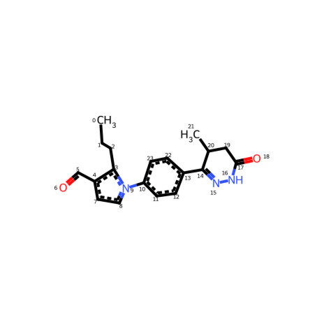 CCCc1c(C=O)ccn1-c1ccc(C2=NNC(=O)CC2C)cc1